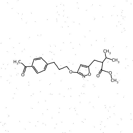 COC(=O)C(Cc1cc(OCCCc2ccc(C(C)=O)cc2)no1)C(C)C